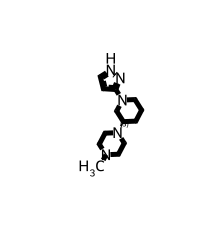 CN1CCN([C@H]2CCCN(c3cc[nH]n3)C2)CC1